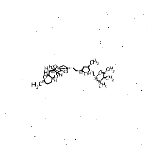 C=C1C[C@H](CC[C@@]23CC4O[C@H]5[C@@H](O2)[C@H]2O[C@@H](C)CC[C@@H]2O[C@H]5C4O3)O[C@H]1CC[C@H]1C[C@@H](C)C(=C)[C@@H](C)O1